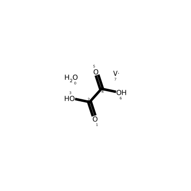 O.O=C(O)C(=O)O.[V]